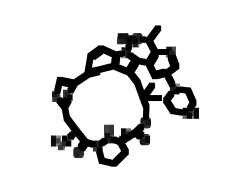 CCn1c(-c2cc(N3CCNCC3)cnc2[C@H](C)OC)c2c3cc(ccc31)-c1csc(n1)C[C@H](N)C(=O)N1CCC[C@H](N1)C(=O)OCC(C)(C)C2